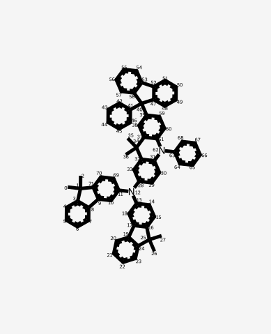 CC1(C)c2ccccc2-c2cc(N(c3ccc4c(c3)-c3ccccc3C4(C)C)c3ccc4c(c3)C(C)(C)c3cc(C5(c6ccccc6)c6ccccc6-c6ccccc65)ccc3N4c3ccccc3)ccc21